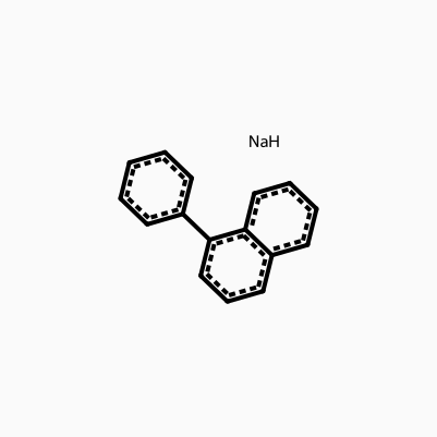 [NaH].c1ccc(-c2cccc3ccccc23)cc1